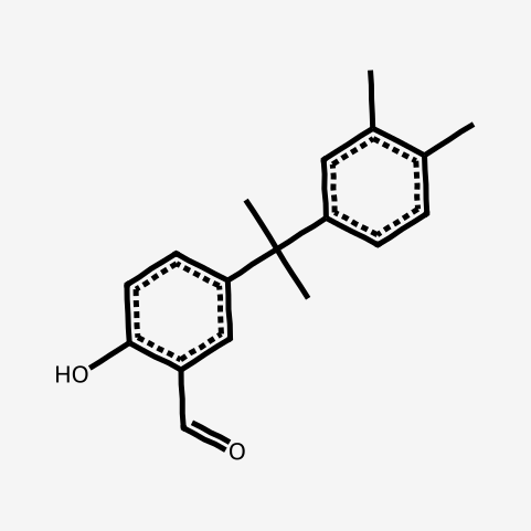 Cc1ccc(C(C)(C)c2ccc(O)c(C=O)c2)cc1C